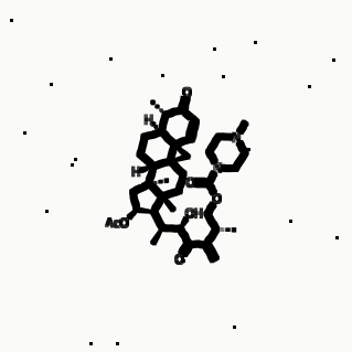 C=C(C(=O)[C@H](O)[C@@H](C)[C@H]1[C@@H](OC(C)=O)C[C@@]2(C)[C@@H]3CC[C@H]4[C@H](C)C(=O)C=C[C@@]45C[C@@]35CC[C@]12C)[C@@H](C)COC(=O)N1CCN(C)CC1